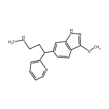 CNCCC(c1ccc2c(OC)n[nH]c2c1)c1ccccn1